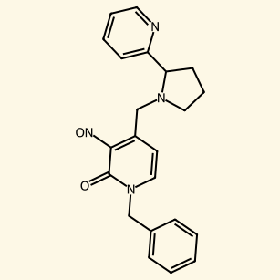 O=Nc1c(CN2CCCC2c2ccccn2)ccn(Cc2ccccc2)c1=O